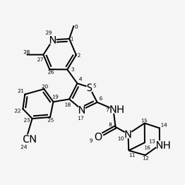 Cc1cc(-c2sc(NC(=O)N3C4CNCC3C4)nc2-c2cccc(C#N)c2)cc(C)n1